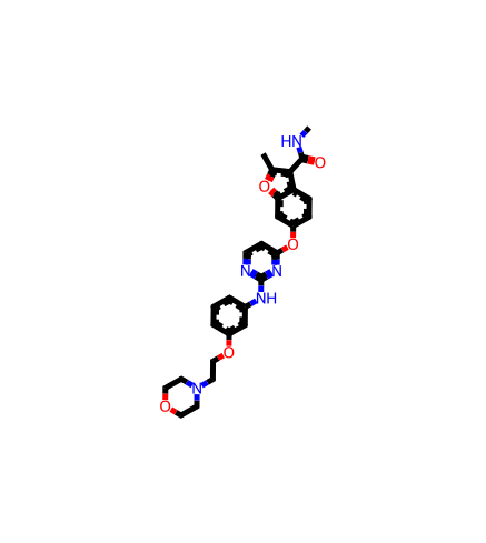 CNC(=O)c1c(C)oc2cc(Oc3ccnc(Nc4cccc(OCCN5CCOCC5)c4)n3)ccc12